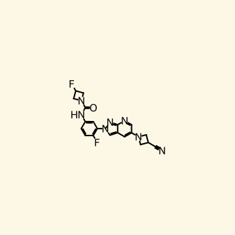 N#CC1CN(c2cnc3nn(-c4cc(NC(=O)N5CC(F)C5)ccc4F)cc3c2)C1